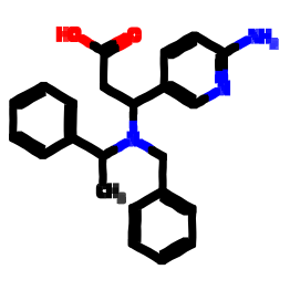 CC(c1ccccc1)N(Cc1ccccc1)C(CC(=O)O)c1ccc(N)nc1